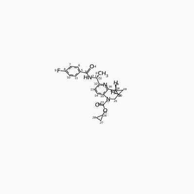 C[C@H](NC(=O)c1ccc(F)cc1)c1ccc2c(n1)[C@@H]1C[C@@H]1CN2C(=O)OC1CC1